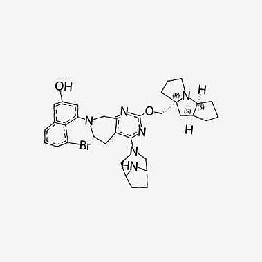 Oc1cc(N2CCc3c(nc(OC[C@]45CCCN4[C@H]4CCC[C@H]4C5)nc3N3CC4CCC(C3)N4)C2)c2c(Br)cccc2c1